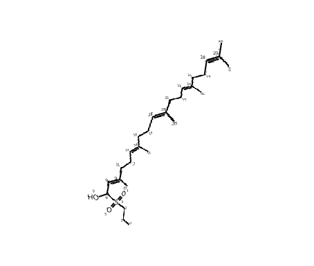 CCCS(=O)(=O)C(O)/C=C(\C)CC/C=C(\C)CC/C=C(\C)CC/C=C(\C)CCC=C(C)C